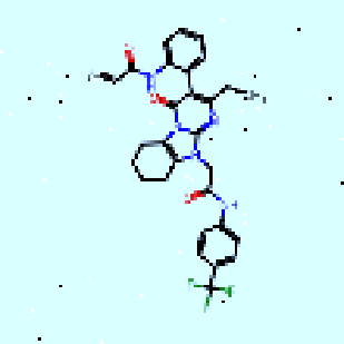 C=CC(=O)Nc1ccccc1-c1c(CC)nc2n(CC(=O)Nc3ccc(C(F)(F)F)cc3)c3c(n2c1=O)CCCC3